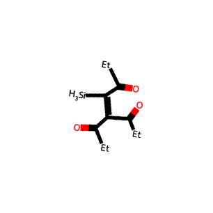 CCC(=O)C([SiH3])=C(C(=O)CC)C(=O)CC